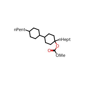 CCCCCCCC1(OC(=O)OC)CCC(C2CCC(CCCCC)CC2)CC1